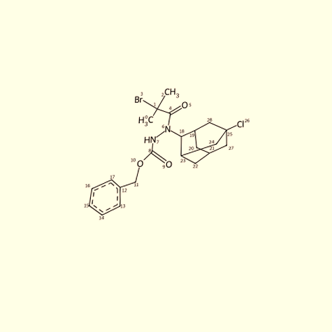 CC(C)(Br)C(=O)N(NC(=O)OCc1ccccc1)C1C2CC3CC1CC(Cl)(C3)C2